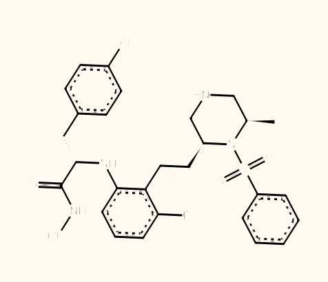 CC(C)NC(=O)[C@H](Cc1ccc(Cl)cc1)Nc1cccc(F)c1CC[C@H]1CNC[C@@H](C)N1S(=O)(=O)c1ccccc1